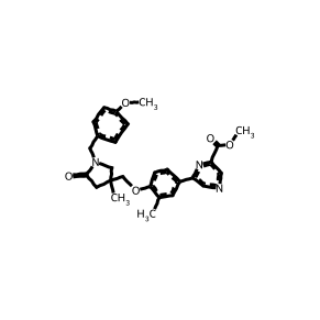 COC(=O)c1cncc(-c2ccc(OCC3(C)CC(=O)N(Cc4ccc(OC)cc4)C3)c(C)c2)n1